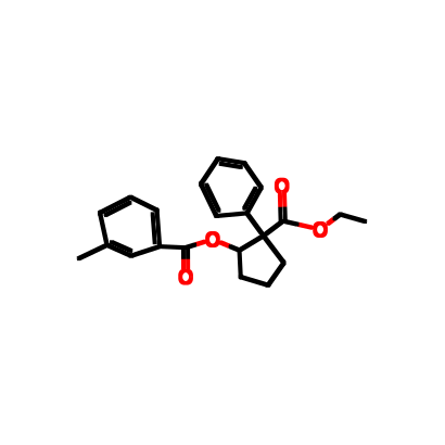 CCOC(=O)C1(c2ccccc2)CCCC1OC(=O)c1cccc(C)c1